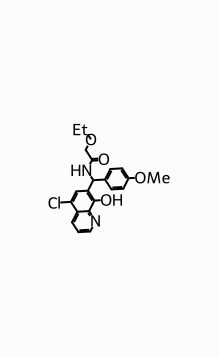 CCOCC(=O)NC(c1ccc(OC)cc1)c1cc(Cl)c2cccnc2c1O